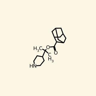 CC(C)(OC(=O)C1C2CC3CC(C2)CC1C3)C1CCNCC1